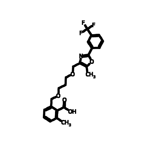 Cc1cccc(COCCCOCc2nc(-c3cccc(C(F)(F)F)c3)oc2C)c1C(=O)O